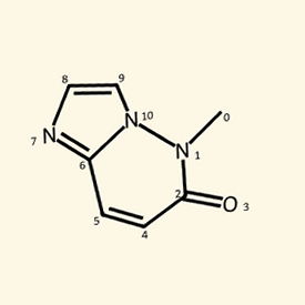 Cn1c(=O)ccc2nccn21